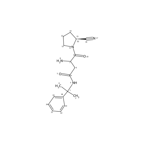 CC(C)(NC(=O)CC(N)C(=O)N1CCC[C@H]1C#N)c1ccccc1